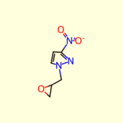 O=[N+]([O-])c1ccn(CC2CO2)n1